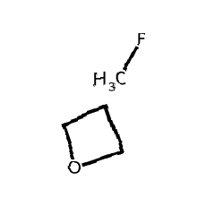 C1COC1.CF